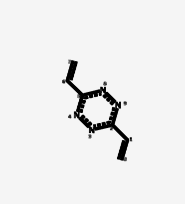 C=Cc1nnc(C=C)nn1